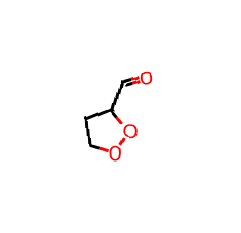 O=CC1CCOO1